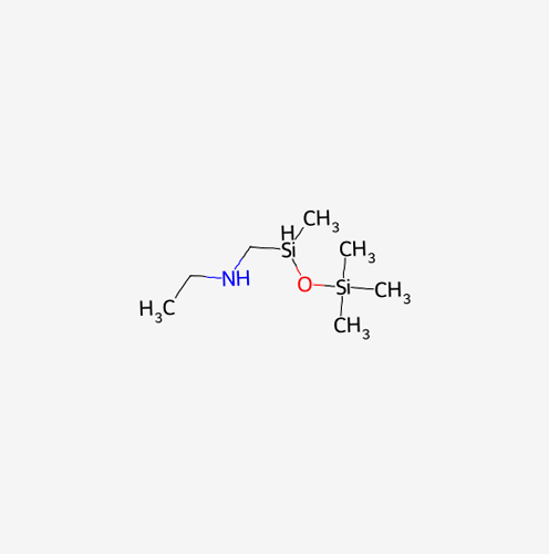 CCNC[SiH](C)O[Si](C)(C)C